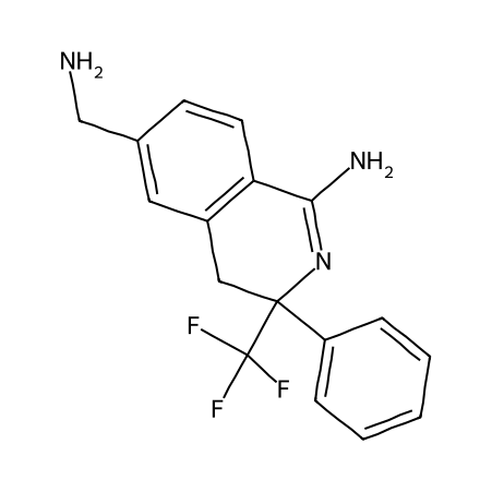 NCc1ccc2c(c1)CC(c1ccccc1)(C(F)(F)F)N=C2N